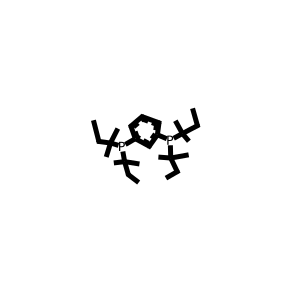 CCC(C)(C)P(c1cccc(P(C(C)(C)CC)C(C)(C)CC)c1)C(C)(C)CC